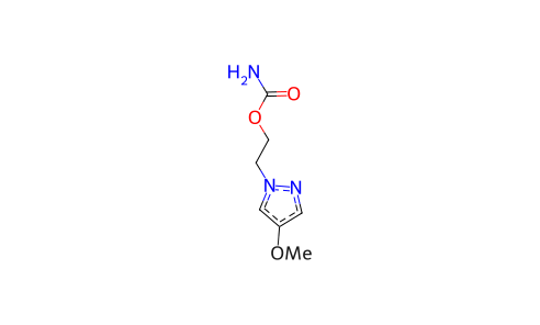 COc1cnn(CCOC(N)=O)c1